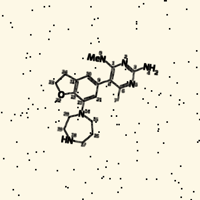 CNc1nc(N)nc(C)c1-c1cc2c(c(N3CCCNCC3)c1)OCC2